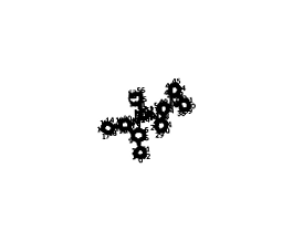 c1ccc(-c2ccc3c(c2)c2cc(-c4ccccc4)ccc2n3-c2cc(-n3c4ccccc4c4cc(-n5c6ccccc6c6ccccc65)ccc43)nc(-c3ccccc3)n2)cc1